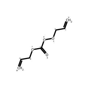 C=CCOOC(=O)OCC=C